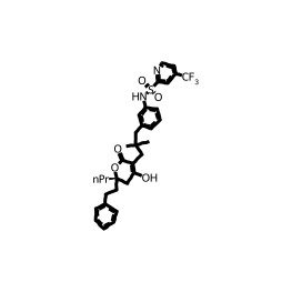 CCC[C@]1(CCc2ccccc2)CC(O)=C(CC(C)(C)Cc2cccc(NS(=O)(=O)c3cc(C(F)(F)F)ccn3)c2)C(=O)O1